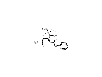 CC(=S)CC(=CC(=O)Oc1ccccc1)N(C)[Si](C)(C)C